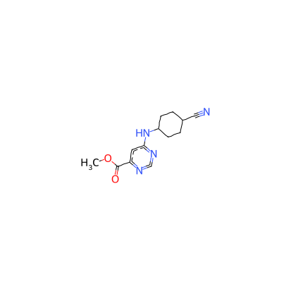 COC(=O)c1cc(NC2CCC(C#N)CC2)ncn1